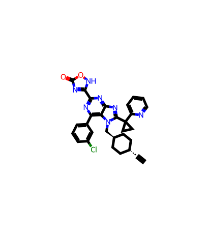 C#C[C@H]1CC[C@H](Cn2c(C3(c4ccccn4)CC3)nc3nc(-c4nc(=O)o[nH]4)nc(-c4cccc(Cl)c4)c32)CC1